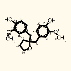 COc1cc(CC2(Cc3ccc(O)c(OC)c3)CCCO2)ccc1O